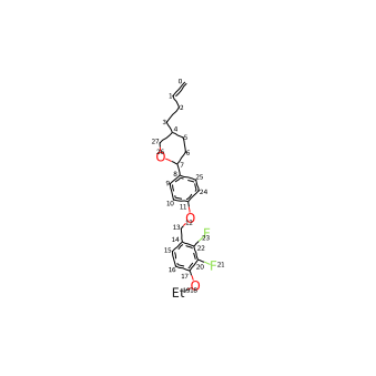 C=CCCC1CCC(c2ccc(OCc3ccc(OCC)c(F)c3F)cc2)OC1